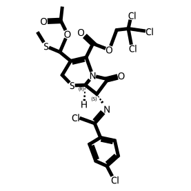 CSC(OC(C)=O)C1=C(C(=O)OCC(Cl)(Cl)Cl)N2C(=O)[C@H](N=C(Cl)c3ccc(Cl)cc3)[C@H]2SC1